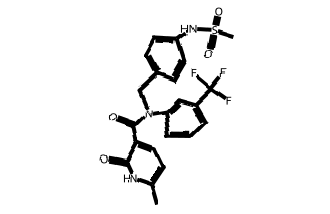 Cc1ccc(C(=O)N(Cc2ccc(NS(C)(=O)=O)cc2)c2cccc(C(F)(F)F)c2)c(=O)[nH]1